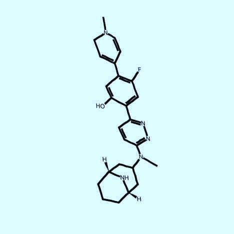 CN1C=CC(c2cc(O)c(-c3ccc(N(C)C4C[C@H]5CCC[C@@H](C4)N5)nn3)cc2F)=CC1